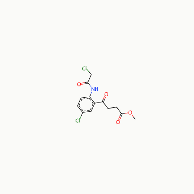 COC(=O)CCC(=O)c1cc(Cl)ccc1NC(=O)CCl